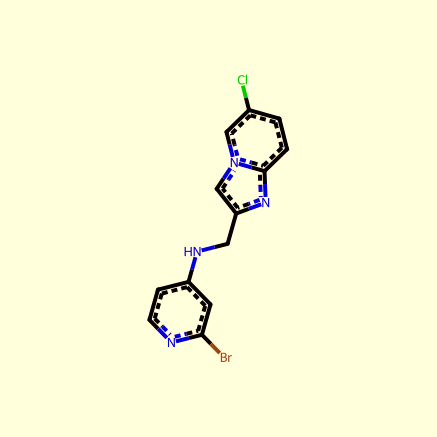 Clc1ccc2nc(CNc3ccnc(Br)c3)cn2c1